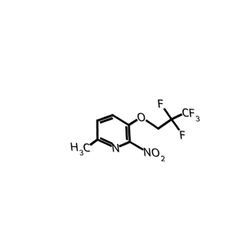 Cc1ccc(OCC(F)(F)C(F)(F)F)c([N+](=O)[O-])n1